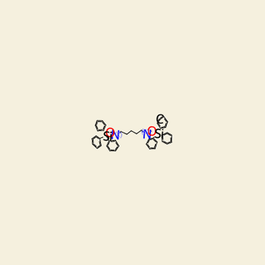 C(/CCC/C=N/O[Si](c1ccccc1)(c1ccccc1)c1ccccc1)=N\O[Si](c1ccccc1)(c1ccccc1)c1ccccc1